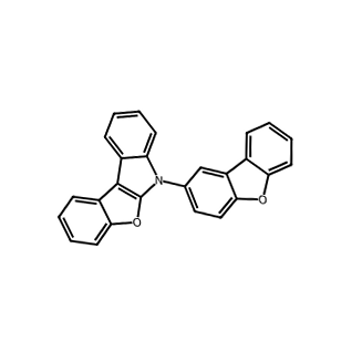 c1ccc2c(c1)oc1ccc(-n3c4ccccc4c4c5ccccc5oc43)cc12